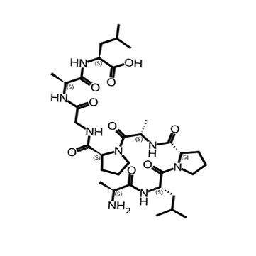 CC(C)C[C@H](NC(=O)[C@H](C)NC(=O)CNC(=O)[C@@H]1CCCN1C(=O)[C@H](C)NC(=O)[C@@H]1CCCN1C(=O)[C@H](CC(C)C)NC(=O)[C@H](C)N)C(=O)O